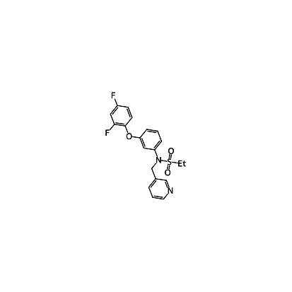 CCS(=O)(=O)N(Cc1cccnc1)c1cccc(Oc2ccc(F)cc2F)c1